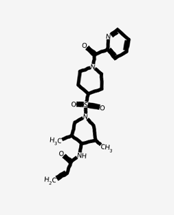 C=CC(=O)NC1C(C)CN(S(=O)(=O)C2CCN(C(=O)c3ccccn3)CC2)CC1C